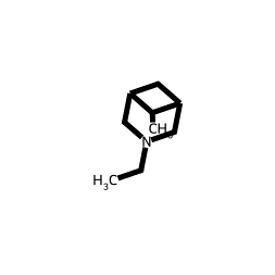 CCN1CC2CC(C1)C2C